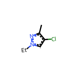 CCn1[c]c(Cl)c(C)n1